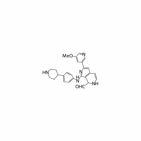 COc1cncc(-c2cc3c(c(Nc4ccc(C5CCNCC5)cc4)n2)C(C=O)NC=C3)c1